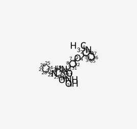 Cc1cc(COc2ccc(C(=O)NC3(CC(=O)NO)CCN(CC4CCCCC4)CC3)cc2)c2ccccc2n1